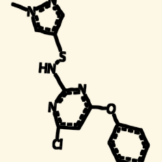 Cn1cc(SNc2nc(Cl)cc(Oc3ccccc3)n2)cn1